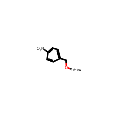 CCCCCCOCc1ccc([N+](=O)[O-])cc1